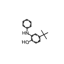 CC(C)(C)c1ccc(O)c(Nc2ccccc2)c1